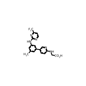 Cc1cc(Nc2nccc(C(F)(F)F)n2)cc(-c2ccc(NCC(=O)O)nc2)c1